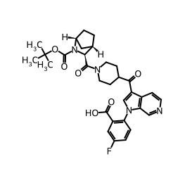 CC(C)(C)OC(=O)N1[C@@H]2CC[C@@H](C2)[C@H]1C(=O)N1CCC(C(=O)c2cn(-c3ccc(F)cc3C(=O)O)c3cnccc23)CC1